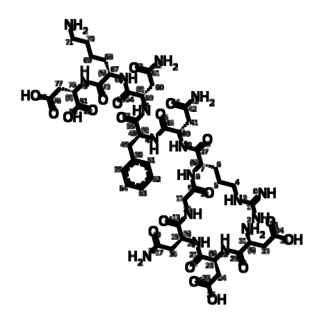 N=C(N)NCCC[C@H](NC(=O)CNC(=O)[C@H](CC(N)=O)NC(=O)[C@H](CC(=O)O)NC(=O)[C@@H](N)CC(=O)O)C(=O)N[C@@H](CC(N)=O)C(=O)N[C@@H](Cc1ccccc1)C(=O)N[C@@H](CC(N)=O)C(=O)N[C@@H](CCCCN)C(=O)N[C@@H](CC(=O)O)C(=O)O